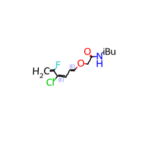 C=C(F)/C(Cl)=C\C=C\OCC(=O)NC(C)CC